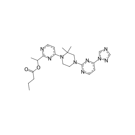 CCCC(=O)OC(C)c1nccc(N2CCN(c3nccc(-n4cncn4)n3)CC2(C)C)n1